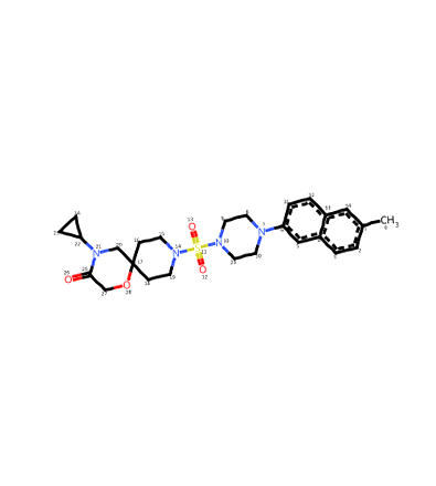 Cc1ccc2cc(N3CCN(S(=O)(=O)N4CCC5(CC4)CN(C4CC4)C(=O)CO5)CC3)ccc2c1